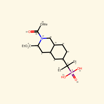 CCOC(=O)C1CC2CC(C(CC)(CC)P(=O)(O)O)CCC2CN1C(=O)OC